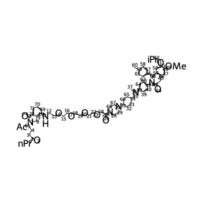 CCCC(=O)CCC(C(C)=O)N1Cc2c(NCCOCCOCCOCCOCC(=O)N3CCN([C@H]4CC[C@H](CN(C)c5ccc(N6C(=O)Cc7cc(OC)c(OC(C)C)cc7[C@@H]6c6ccc(C)cc6)cc5)CC4)CC3)cccc2C1=O